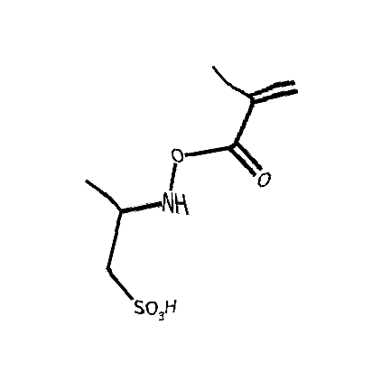 C=C(C)C(=O)ONC(C)CS(=O)(=O)O